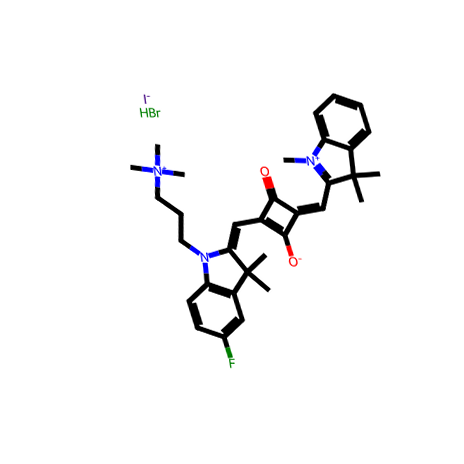 Br.C[N+]1=C(/C=C2\C(=O)C(/C=C3/N(CCC[N+](C)(C)C)c4ccc(F)cc4C3(C)C)=C2[O-])C(C)(C)c2ccccc21.[I-]